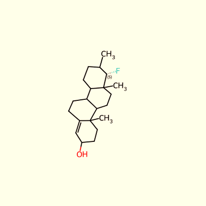 CC1CCC2C3CCC4=CC(O)CCC4(C)C3CCC2(C)[C@H]1F